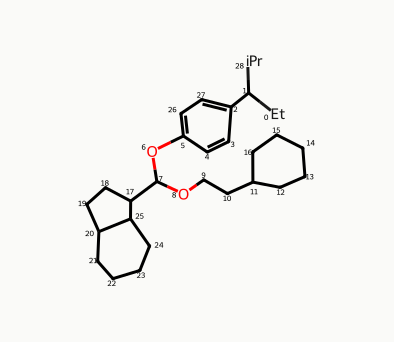 CCC(c1ccc(OC(OCCC2CCCCC2)C2CCC3CCCCC32)cc1)C(C)C